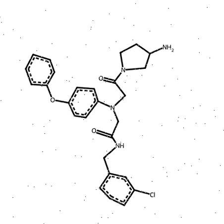 NC1CCN(C(=O)CN(CC(=O)NCc2cccc(Cl)c2)c2ccc(Oc3ccccc3)cc2)C1